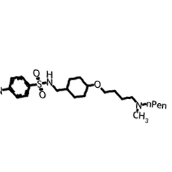 CCCCCN(C)CCCCOC1CCC(CNS(=O)(=O)c2ccc([N+](=O)[O-])cc2)CC1